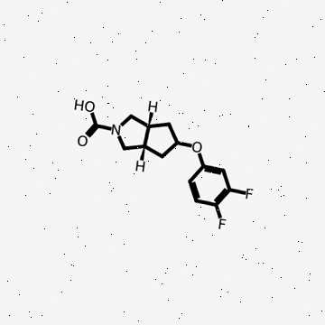 O=C(O)N1C[C@H]2CC(Oc3ccc(F)c(F)c3)C[C@H]2C1